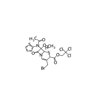 COC1(N(C(C)=O)c2cccs2)C(=O)N2C=C(CBr)C(C(=O)OCC(Cl)(Cl)Cl)S[C@@H]21